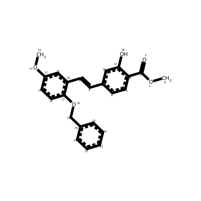 COC(=O)c1ccc(C=Cc2cc(OC)ccc2OCc2ccccc2)cc1O